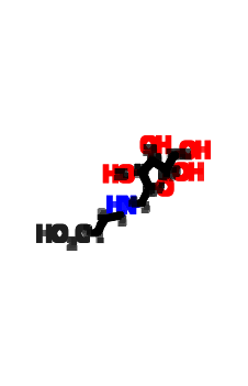 O=C(O)CCCNC[C@@H]1O[C@](O)(CO)[C@@H](O)[C@@H]1O